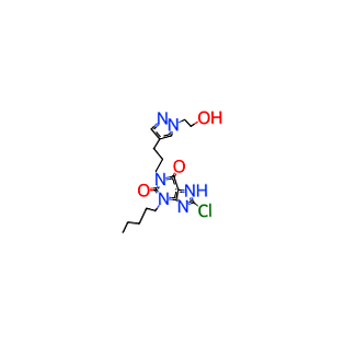 CCCCCn1c(=O)n(CCCc2cnn(CCO)c2)c(=O)c2[nH]c(Cl)nc21